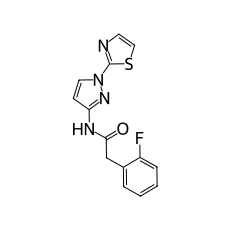 O=C(Cc1ccccc1F)Nc1ccn(-c2nccs2)n1